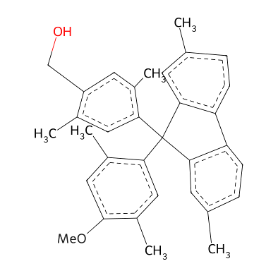 COc1cc(C)c(C2(c3cc(C)c(CO)cc3C)c3cc(C)ccc3-c3ccc(C)cc32)cc1C